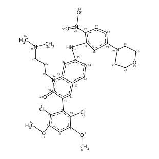 COc1cc(OC)c(Cl)c(-c2cc3cnc(Nc4cc(N5CCOCC5)ccc4[N+](=O)[O-])cc3n(CCCN(C)C)c2=O)c1Cl